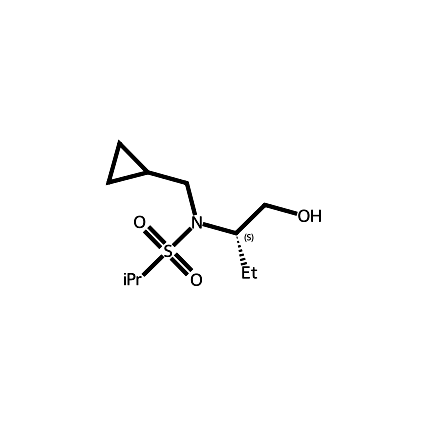 CC[C@@H](CO)N(CC1CC1)S(=O)(=O)C(C)C